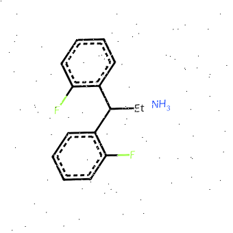 CCC(c1ccccc1F)c1ccccc1F.N